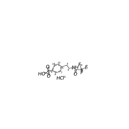 Cl.O=C(NCCc1ccc(S(=O)(=O)O)cc1)C(F)(F)F